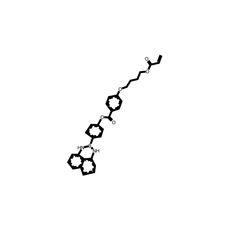 C=CC(=O)OCCCCOc1ccc(C(=O)Oc2ccc(B3Nc4cccc5cccc(c45)N3)cc2)cc1